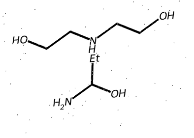 CCC(N)O.OCCNCCO